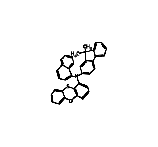 CC1(C)c2ccccc2-c2ccc(N(c3cccc4c3Sc3ccccc3O4)c3cccc4ccccc34)cc21